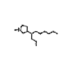 CCCCCCC(CCC)C1CCN(C)C1